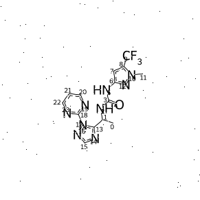 CC(NC(=O)Nc1cc(C(F)(F)F)n(C)n1)c1ncnn1-c1ncccn1